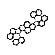 c1ccc2c(B3c4c(ccc5ccccc45)-c4cc5ccc6c7c(cc8ccc(c43)c5c86)-c3ccc4ccccc4c3B7c3cccc4ccccc34)cccc2c1